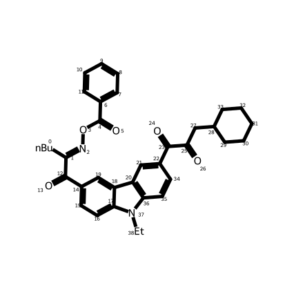 CCCCC(=NOC(=O)c1ccccc1)C(=O)c1ccc2c(c1)c1cc(C(=O)C(=O)CC3CCCCC3)ccc1n2CC